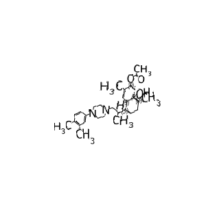 CC(=O)O[C@@H]1[CH][C@@]2(O)[C@H](C)CC[C@@H](C(C)CN3CCN(c4ccc(C)c(C)c4)CC3)[C@H]2C=C1C